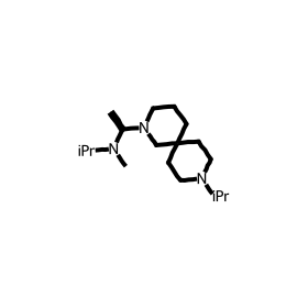 C=C(N1CCCC2(CCN(C(C)C)CC2)C1)N(C)C(C)C